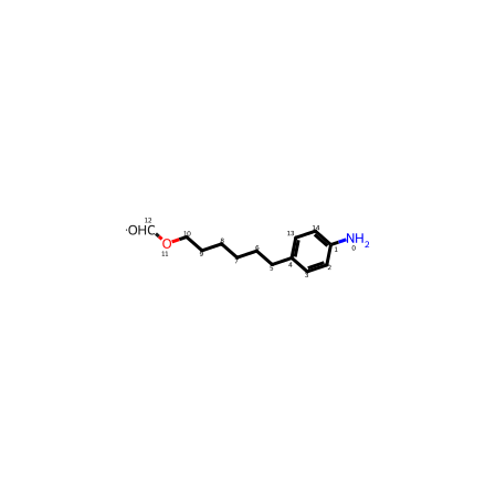 Nc1ccc(CCCCCCO[C]=O)cc1